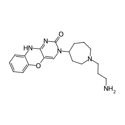 NCCCN1CCCC(n2cc3c(nc2=O)Nc2ccccc2O3)CC1